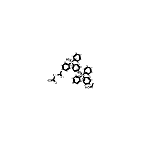 CC(=O)O.CC(=O)O.CCO.N=P(c1ccccc1)(c1ccccc1)c1ccccc1.N=P(c1ccccc1)(c1ccccc1)c1ccccc1